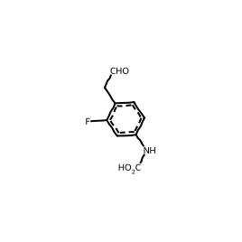 O=CCc1ccc(NC(=O)O)cc1F